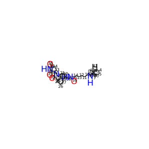 CC1(C)[C@@H]2CC[C@@]1(C)[C@@H](NCCCCCC(=O)NCc1ccc3c4c(cccc14)C(=O)N3C1CCC(=O)NC1=O)C2